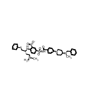 CN(C)CC[C@H](CSc1ccccc1)Nc1ccc(S(=O)(=O)NC(=O)c2ccc(N3CCC(N(C)Cc4ccccc4)CC3)cc2)cc1[N+](=O)[O-]